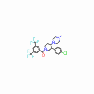 CN1CCN(C2CCN(C(=O)c3cc(C(F)(F)F)cc(C(F)(F)F)c3)CC2c2ccc(Cl)cc2)CC1